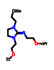 CCCOCC/N=C1/N(CCOC)CCN1CCOCC